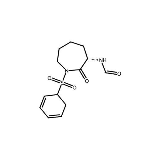 O=[C]N[C@H]1CCCCN(S(=O)(=O)C2C=CC=CC2)C1=O